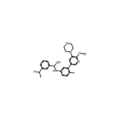 CCOc1ncc(-c2cc(NC(O)c3cccc(C(F)F)c3)ccc2C)cc1N1CCOCC1